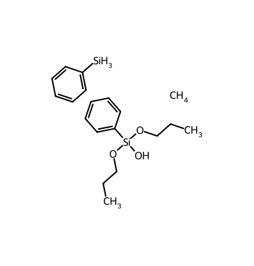 C.CCCO[Si](O)(OCCC)c1ccccc1.[SiH3]c1ccccc1